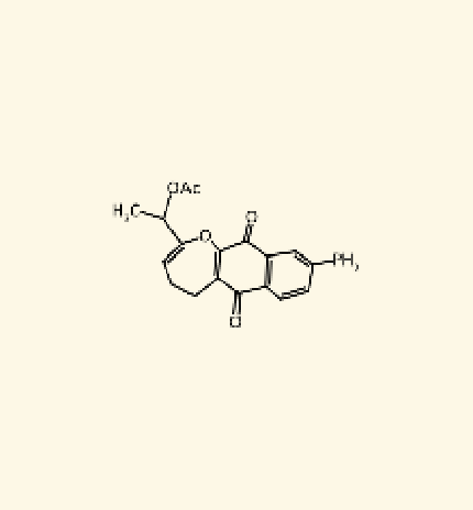 CC(=O)OC(C)C1=CCCC2=C(O1)C(=O)c1cc(P)ccc1C2=O